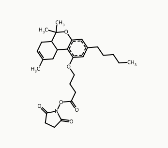 CCCCCc1cc(OCCCC(=O)ON2C(=O)CCC2=O)c2c(c1)OC(C)(C)C1CC=C(C)CC21